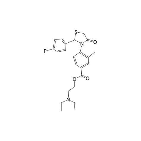 CCN(CC)CCOC(=O)c1ccc(N2C(=O)CSC2c2ccc(F)cc2)c(C)c1